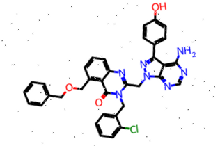 Nc1ncnc2c1c(-c1ccc(O)cc1)nn2Cc1nc2cccc(COCc3ccccc3)c2c(=O)n1Cc1ccccc1Cl